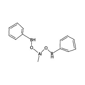 [CH3][Al]([O]Bc1ccccc1)[O]Bc1ccccc1